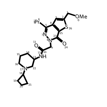 COCc1cc2c(C(C)C)nn(CC(=O)NC3CCCN(C4CCC4)C3)c(=O)c2s1